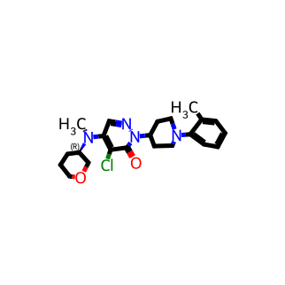 Cc1ccccc1N1CCC(n2ncc(N(C)[C@@H]3CCCOC3)c(Cl)c2=O)CC1